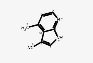 Cc1ccnc2[nH]cc(C#N)c12